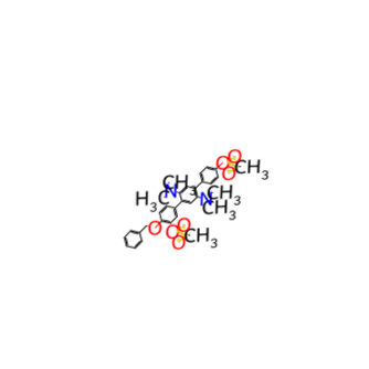 CN(C)c1cc(-c2ccc(OCc3ccccc3)c(OS(C)(=O)=O)c2)c(N(C)C)cc1-c1ccc(OS(C)(=O)=O)cc1